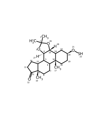 CC1(C)O[C@@H]2C3C(CC[C@]4(C)C(=O)CCC34)[C@@]3(C)CC[C@H](OS)CC3[C@H]2O1